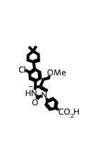 COCCC1=CN(c2ccc(C(=O)O)cc2)C(=O)N[C@@]1(C)c1ccc(C2=CCC(C)(C)CC2)c(Cl)c1